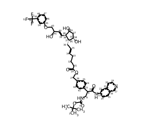 CC(C)(C)OC(=O)NCC(C(=O)Nc1ccc2cnccc2c1)c1ccc(COC(=O)CCCC=CC[C@@H]2[C@@H](C=CC(O)COc3cccc(C(F)(F)F)c3)[C@H](O)C[C@@H]2O)cc1